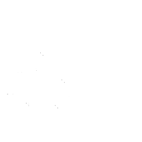 Cc1ccccc1-c1nc(N(C)C=O)c(C(=O)N(C)CCCO)n1Cc1ccc(F)cc1